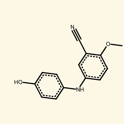 COc1ccc(Nc2ccc(O)cc2)cc1C#N